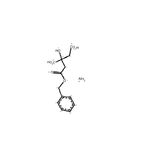 O=C(O)CC(O)(CC(=O)OCc1ccccc1)C(=O)O.[AlH3]